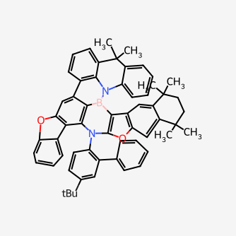 CC(C)(C)c1ccc(N2c3oc4cc5c(cc4c3B3c4c(cc6oc7ccccc7c6c42)-c2cccc4c2N3c2ccccc2C4(C)C)C(C)(C)CCC5(C)C)c(-c2ccccc2)c1